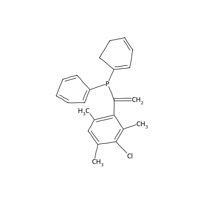 C=C(c1c(C)cc(C)c(Cl)c1C)P(C1=CC=CCC1)c1ccccc1